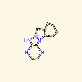 c1ccc2c(c1)c[n+]1[nH]c3nccnc3n21